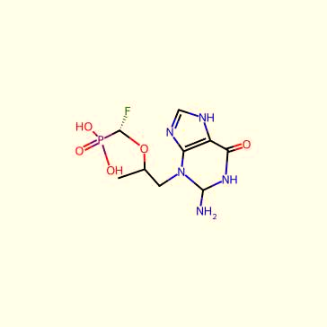 CC(CN1c2nc[nH]c2C(=O)NC1N)O[C@@H](F)P(=O)(O)O